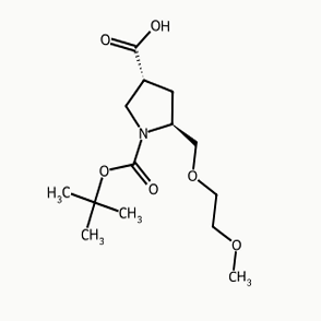 COCCOC[C@@H]1C[C@@H](C(=O)O)CN1C(=O)OC(C)(C)C